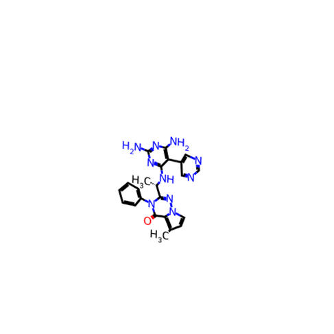 Cc1ccn2nc([C@H](C)Nc3nc(N)nc(N)c3-c3cncnc3)n(-c3ccccc3)c(=O)c12